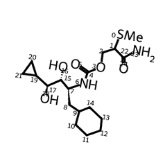 CSC(COC(=O)N[C@@H](CC1CCCCC1)[C@@H](O)[C@@H](O)C1CC1)C(N)=O